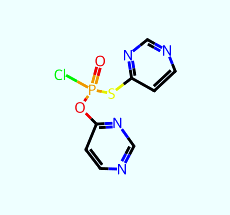 O=P(Cl)(Oc1ccncn1)Sc1ccncn1